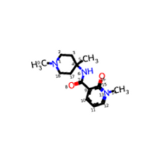 CN1CCC(C)(NC(=O)c2cccn(C)c2=O)CC1